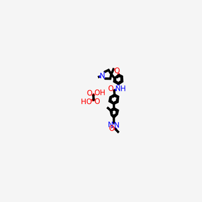 Cc1nc(-c2ccc(-c3ccc(C(=O)Nc4ccc5c(c4)C4(CCN(C)CC4)CO5)cc3)c(C)c2)no1.O=C(O)C(=O)O